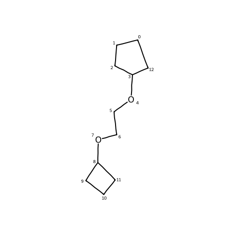 C1CCC(OCCOC2CCC2)C1